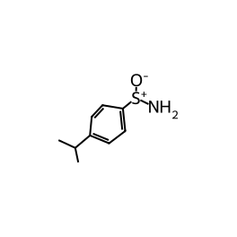 CC(C)c1ccc([S+](N)[O-])cc1